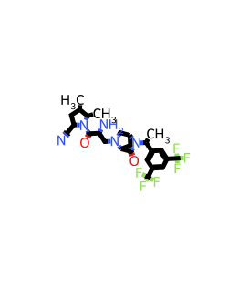 CC1CC(C#N)N(C(=O)C(N)CN2CC3CC2C(=O)N3C(C)c2cc(C(F)(F)F)cc(C(F)(F)F)c2)C1C